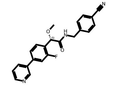 CO[C@H](C(=O)NCc1ccc(C#N)cc1)c1ccc(-c2cccnc2)cc1F